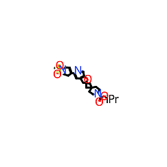 CC(C)OC(=O)N1CCC2(CC1)CC1(Cc3cc(C4=CCN(S(C)(=O)=O)CC4)ncc3O1)C2